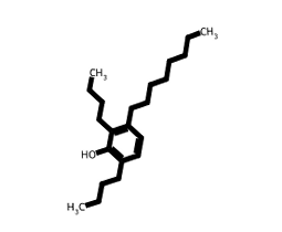 CCCCCCCCc1ccc(CCCC)c(O)c1CCCC